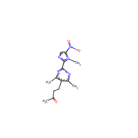 CC(=O)CCc1c(C)nc(-c2ncc([N+](=O)[O-])n2C)nc1C